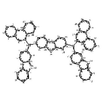 c1ccc2c(c1)cc(N(c1ccc3c(c1)oc1ccccc13)c1ccc3c(c1)oc1nc(N(c4ccc5c(c4)oc4ccccc45)c4cc5ccccc5c5ccccc45)ccc13)c1ccccc12